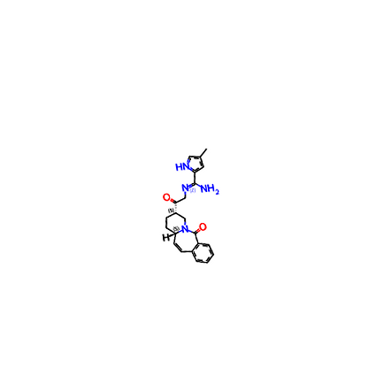 Cc1c[nH]c(/C(N)=N/CC(=O)[C@H]2CC[C@H]3C=Cc4ccccc4C(=O)N3C2)c1